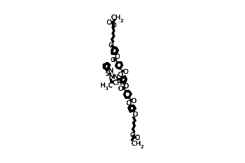 C=CC(=O)OCCCCCCOc1ccc(OC(=O)[C@H]2CC[C@H](C(=O)Oc3ccc(OC(=O)[C@H]4CC[C@@H](C(=O)Oc5ccc(OCCCCCCOC(=O)C=C)cc5)CC4)c(/C=N/N(CC(=C)C)c4nc5ccccc5s4)c3)CC2)cc1